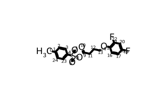 Cc1ccc(S(=O)(=O)OC(=O)CCCOc2ccc(F)cc2F)cc1